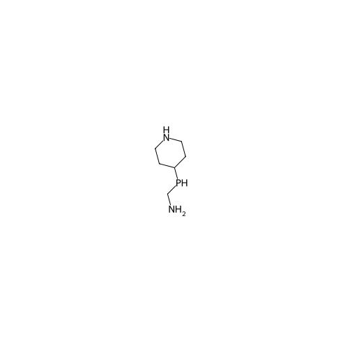 NCPC1CCNCC1